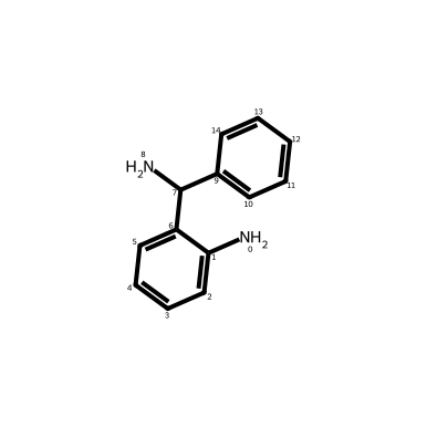 Nc1ccccc1C(N)c1ccccc1